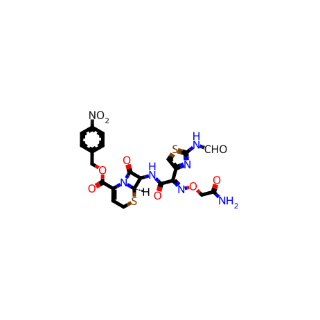 NC(=O)CO/N=C(/C(=O)NC1C(=O)N2C(C(=O)OCc3ccc([N+](=O)[O-])cc3)=CCS[C@H]12)c1csc(NC=O)n1